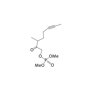 CC#CCCC(C)C(=O)COP(=O)(OC)OC